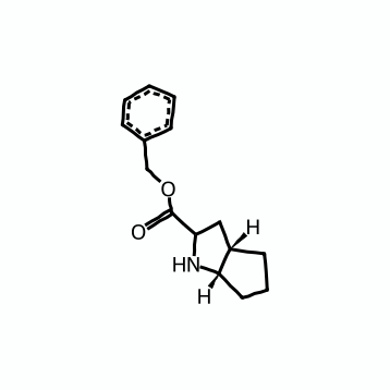 O=C(OCc1ccccc1)C1C[C@@H]2CCC[C@@H]2N1